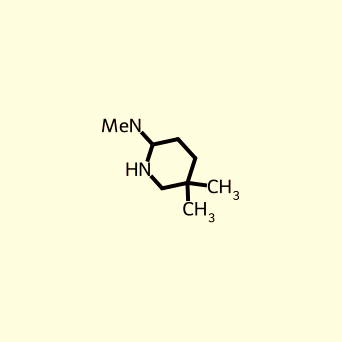 CNC1CCC(C)(C)CN1